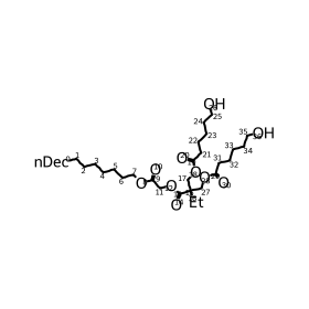 CCCCCCCCCCCCCCCCCOC(=O)COC(=O)C(CC)(COC(=O)CCCCCO)COC(=O)CCCCCO